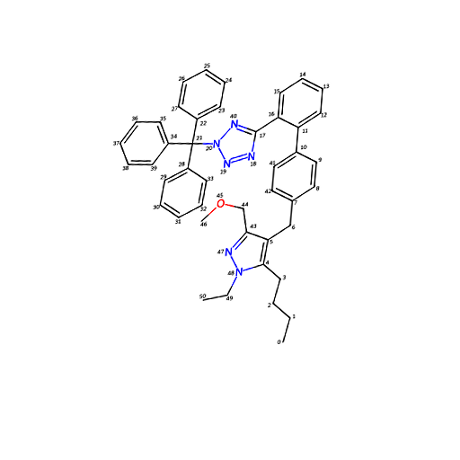 CCCCc1c(Cc2ccc(-c3ccccc3-c3nnn(C(c4ccccc4)(c4ccccc4)c4ccccc4)n3)cc2)c(COC)nn1CC